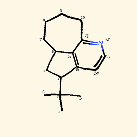 CC(C)(C)C1CC2CCCCc3nccc1c32